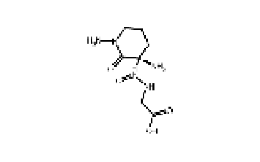 NN1CCC[C@](N)([PH](=O)NCC(=O)O)C1=O